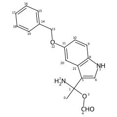 CC(N)(OC=O)c1c[nH]c2ccc(OCc3ccccc3)cc12